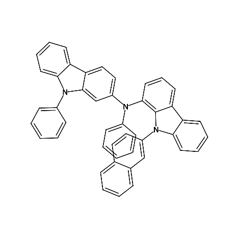 c1ccc(N(c2ccc3c4ccccc4n(-c4ccccc4)c3c2)c2cccc3c4ccccc4n(-c4ccc5ccccc5c4)c23)cc1